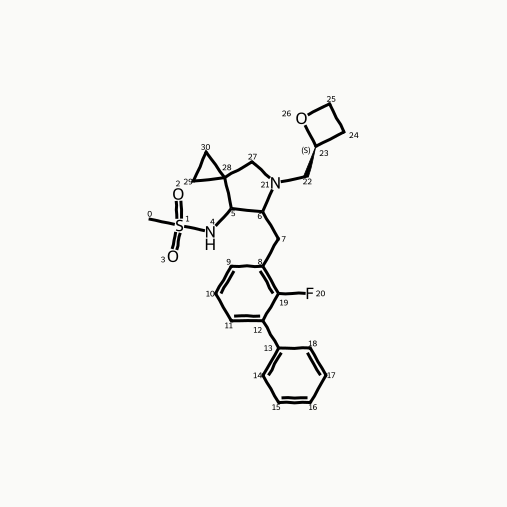 CS(=O)(=O)NC1C(Cc2cccc(-c3ccccc3)c2F)N(C[C@@H]2CCO2)CC12CC2